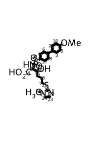 COc1ccc(-c2ccc(S(=O)(=O)N[C@@H](C(=O)O)[C@H](O)CCCSc3nccn3C)cc2)cc1